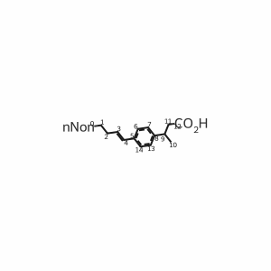 CCCCCCCCCCCC=Cc1ccc(C(C)CC(=O)O)cc1